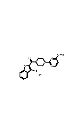 COc1ccnc(N2CCN(C(=O)c3sc4ccccc4c3Cl)CC2)n1.Cl